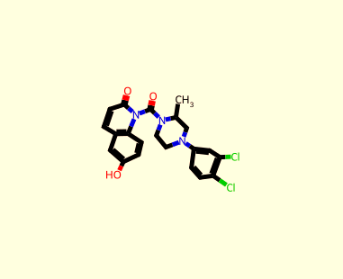 CC1CN(c2ccc(Cl)c(Cl)c2)CCN1C(=O)n1c(=O)ccc2cc(O)ccc21